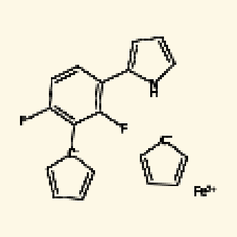 Fc1ccc(-c2ccc[nH]2)c(F)c1-[c-]1cccc1.[Fe+2].c1cc[cH-]c1